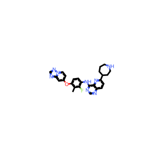 Cc1c(Oc2ccn3ncnc3c2)ccc(Nc2ncnc3ccc(C4CCCNCC4)nc23)c1F